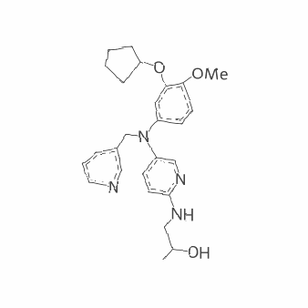 COc1ccc(N(Cc2cccnc2)c2ccc(NCC(C)O)nc2)cc1OC1CCCC1